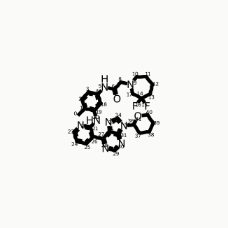 Cc1ccc(NC(=O)CN2CCCCC(F)(F)C2)cc1Nc1ncccc1-c1ncnc2c1ncn2C1CCCCO1